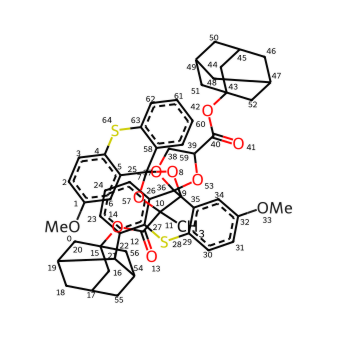 COc1ccc2c(c1)C1(OCC(C)(C(=O)OC34CC5CC(C3)C(c3cccc6c3Sc3ccc(OC)cc3C63OCC(C(=O)OC67CC8CC(CC(C8)C6)C7)O3)C(C5)C4)O1)c1ccccc1S2